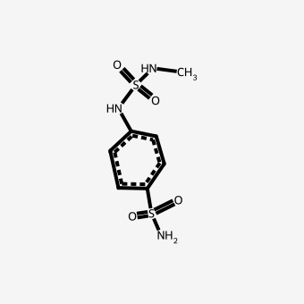 CNS(=O)(=O)Nc1ccc(S(N)(=O)=O)cc1